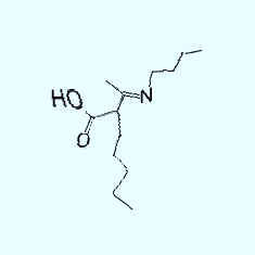 CCCCCC(C(=O)O)C(C)=NCCCC